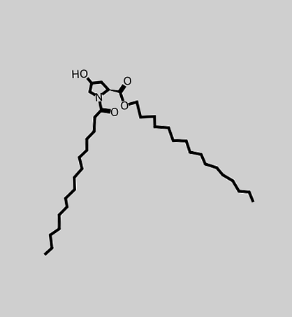 CCCCCCCCCCCCCCCCOC(=O)[C@@H]1CC(O)CN1C(=O)CCCCCCCCCCCCCCC